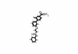 Cc1cc(C(N)=O)ccc1-c1cccc(OCCNCC2CCCCC2)c1